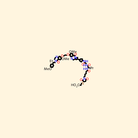 CC/C(=C\N1CC=Nc2cc(OCCCOc3cc4c(cc3OC)C(=O)N3C=C(c5ccc(NC(=O)CNC(=O)C(NC(=O)CCCCCN6C(=O)CC(SCCC(=O)O)C6=O)C(C)C)cc5)CC3C=N4)c(OC)cc2C1=O)c1ccc(OC)cc1